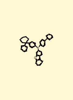 c1ccc(-c2ccc(N(c3ccc(C4(c5ccccc5)CCCCC4)cc3)c3ccc4c(c3)oc3ccccc34)cc2)cc1